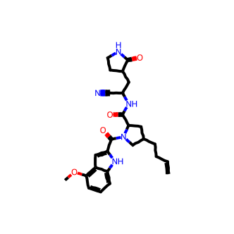 C=CCCC1CC(C(=O)NC(C#N)CC2CCNC2=O)N(C(=O)c2cc3c(OC)cccc3[nH]2)C1